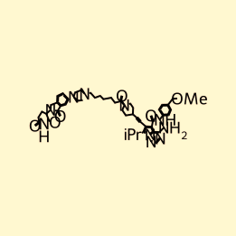 COCc1ccc(NC(=O)c2c(C#CC3CCN(C(=O)CCCCCCN4CCN(c5ccc6c(c5)C(=O)N(C5CCC(=O)NC5=O)C6)CC4)CC3)c(C(C)C)n3ncnc(N)c23)cc1